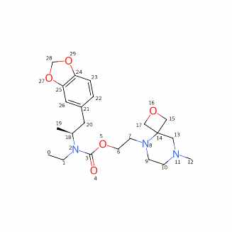 CCN(C(=O)OCCN1CCN(C)CC12COC2)[C@@H](C)Cc1ccc2c(c1)OCO2